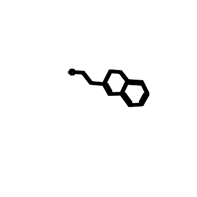 [O]CCC1=Cc2ccccc2CC1